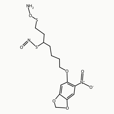 NOSCCC(CCCCOc1cc2c(cc1[N+](=O)[O-])OCO2)SN=O